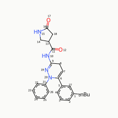 CCCCc1cccc(C2=CCC(NC(=O)C3CNC(=O)C3)=NN2c2ccccc2)c1